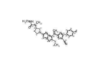 CCc1nc2sc(N3CCC(N(C)C(=O)NC)C3)nn2c1N(C)c1nc(-c2ccc(F)cc2)c(C#N)s1